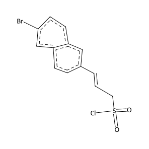 O=S(=O)(Cl)CC=Cc1ccc2cc(Br)ccc2c1